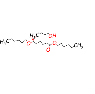 CCCCCCOC(=O)CCCCC(=O)OCCCCCC.CCCCO